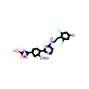 COc1cc(-c2noc(O)n2)ccc1-c1nccc(NCCc2c(F)cc(Br)cc2F)n1